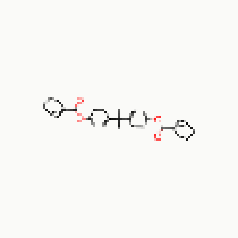 CC(C)(c1ccc(OC(=O)C2=CC3CCC2C3)cc1)c1ccc(OC(=O)C2=CC3CCC2C3)cc1